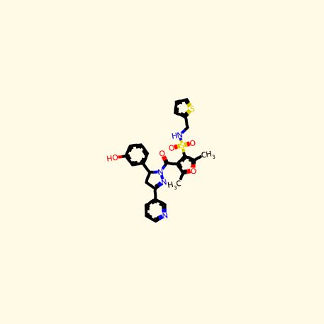 Cc1oc(C)c(S(=O)(=O)NCc2cccs2)c1C(=O)N1N=C(c2cccnc2)CC1c1cccc(O)c1